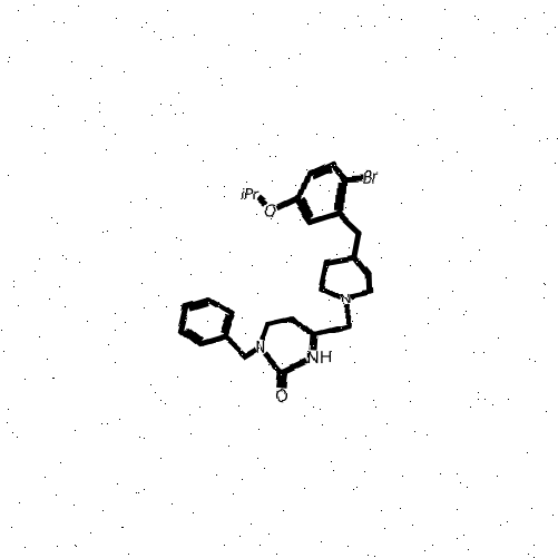 CC(C)Oc1ccc(Br)c(CC2CCN(CC3CCN(Cc4ccccc4)C(=O)N3)CC2)c1